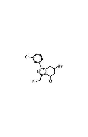 CC(C)Cc1nn(-c2cccc(Cl)c2)c2c1C(=O)CC(C(C)C)C2